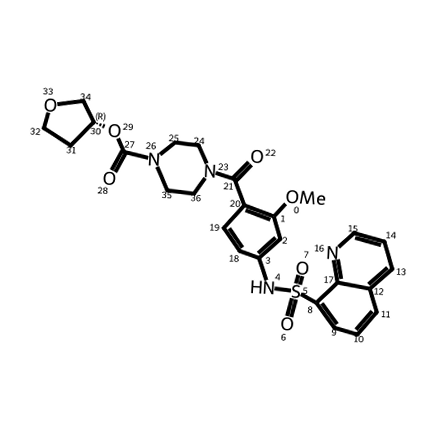 COc1cc(NS(=O)(=O)c2cccc3cccnc23)ccc1C(=O)N1CCN(C(=O)O[C@@H]2CCOC2)CC1